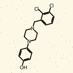 Oc1ccc(N2CCN(Cc3cccc(Cl)c3Cl)CC2)cc1